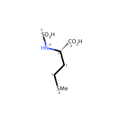 CSCC[C@H](NS(=O)(=O)O)C(=O)O